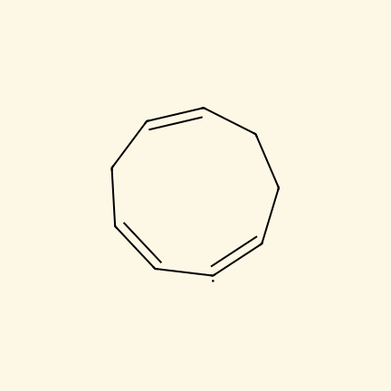 [C]1=CCCC=CCC=C1